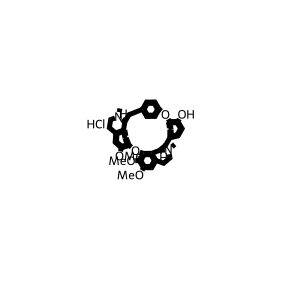 COc1cc2c3cc1Oc1c(OC)c(OC)cc4c1[C@@H](Cc1ccc(O)c(c1)Oc1ccc(cc1)C[C@@H]3N(C)CC2)N(C)CC4.Cl